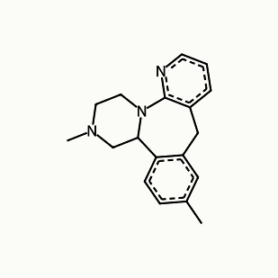 Cc1ccc2c(c1)Cc1cccnc1N1CCN(C)CC21